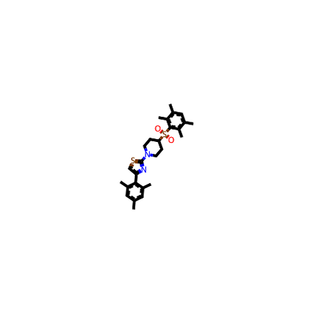 Cc1cc(C)c(-c2csc(N3CCC(S(=O)(=O)c4c(C)c(C)cc(C)c4C)CC3)n2)c(C)c1